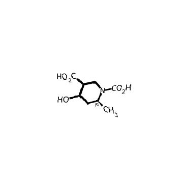 C[C@H]1CC(O)C(C(=O)O)CN1C(=O)O